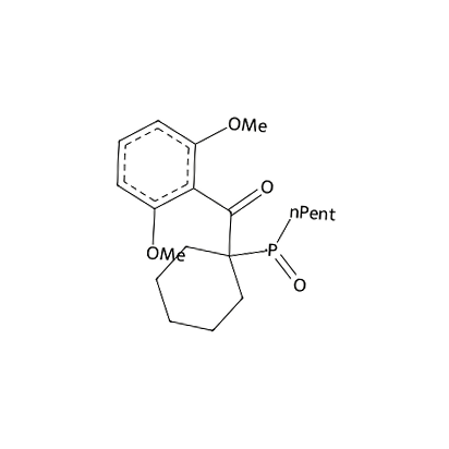 CCCCC[P](=O)C1(C(=O)c2c(OC)cccc2OC)CCCCC1